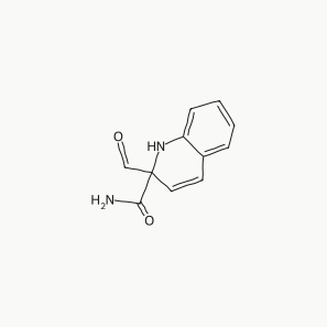 NC(=O)C1(C=O)C=Cc2ccccc2N1